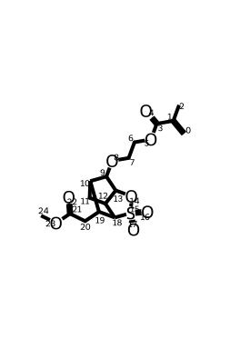 C=C(C)C(=O)OCCOC1C2CC3C1OS(=O)(=O)C3C2CC(=O)OC